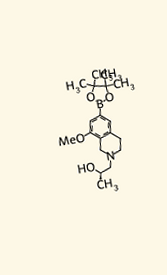 COc1cc(B2OC(C)(C)C(C)(C)O2)cc2c1CN(C[C@@H](C)O)CC2